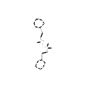 O=S(=O)(C=Cc1ccccc1)OS(=O)(=O)C=Cc1ccccc1